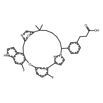 CC1(C)CCCCC(c2cccc(CCC(=O)O)c2)n2ccc(n2)-c2cc(ccc2F)Oc2c(F)cc3[nH]ccc3c2Cc2ncc1o2